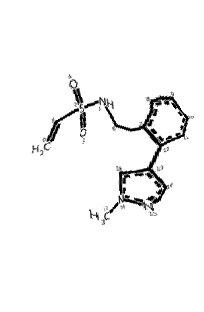 C=CS(=O)(=O)NCc1ccccc1-c1cnn(C)c1